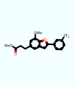 COC(=O)CCc1cc(OC)c2oc(-c3cccc(C(F)(F)F)c3)cc2c1